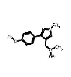 CCCN(C)Cc1cn(C)nc1-c1ccc(OC(C)C)cc1